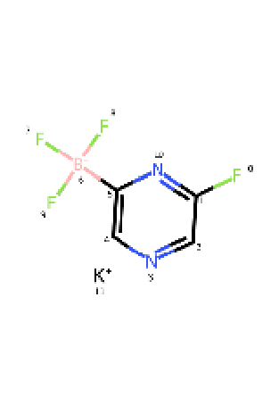 Fc1cncc([B-](F)(F)F)n1.[K+]